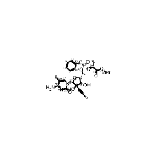 CC#CC1(O)[C@@H](O)[C@@H](CO[P@](=O)(Oc2ccccc2)O[C@@H](C)C(=O)OC(C)C)O[C@H]1n1cc(F)c(N)nc1=O